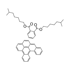 CC(C)CCCCCOC(=O)c1ccccc1C(=O)OCCCCCC(C)C.c1ccc2c(c1)cc1ccc3cccc4c5ccccc5c2c1c34